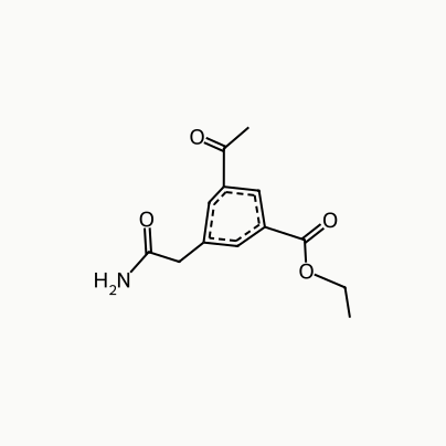 CCOC(=O)c1cc(CC(N)=O)cc(C(C)=O)c1